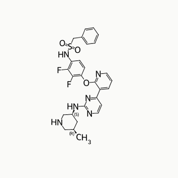 C[C@H]1CNC[C@@H](Nc2nccc(-c3cccnc3Oc3ccc(NS(=O)(=O)Cc4ccccc4)c(F)c3F)n2)C1